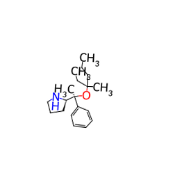 CCCC(C)(CC)O[C@@](C)(c1ccccc1)[C@H]1CCCN1